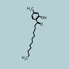 CCCCCCCCCCCC(=O)c1ccc(C)cc1O